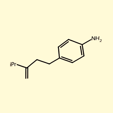 C=C(CCc1ccc(N)cc1)C(C)C